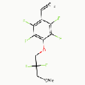 C=Cc1c(F)c(F)c(OCC(F)(F)COC)c(F)c1F